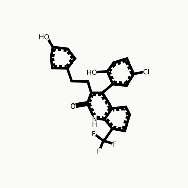 O=c1[nH]c2c(C(F)(F)F)cccc2c(-c2cc(Cl)ccc2O)c1CCc1ccc(O)cc1